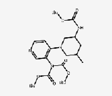 CC1CC(NC(=O)OC(C)(C)C)CN(c2ccncc2N(C(=O)OC(C)(C)C)C(=O)OC(C)(C)C)C1